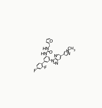 Cn1cc(-c2cnc3c(c2)ncn3-c2cc(NC(=O)NCc3ccco3)cc(-c3ccc(F)cc3F)c2)cn1